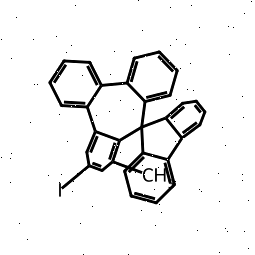 Cc1cc(I)cc2c1C1(c3ccccc3-c3ccccc3-2)c2ccccc2-c2ccccc21